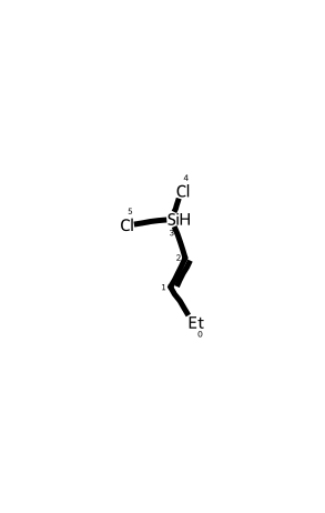 CCC=C[SiH](Cl)Cl